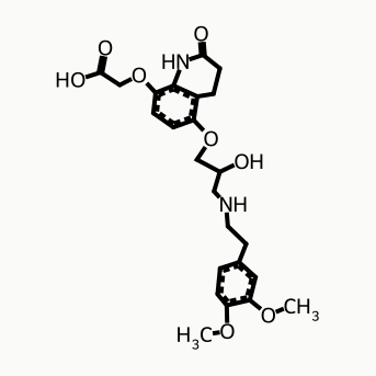 COc1ccc(CCNCC(O)COc2ccc(OCC(=O)O)c3c2CCC(=O)N3)cc1OC